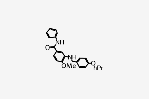 CCCOc1ccc(CNc2cc(C(=O)Nc3ccccc3)ccc2OC)cc1